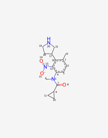 Cc1ccc(N(C)C(=O)C2CC2)c([N+](=O)[O-])c1C1CCNC1